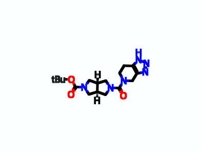 CC(C)(C)OC(=O)N1C[C@@H]2CN(C(=O)N3CCc4[nH]nnc4C3)C[C@H]2C1